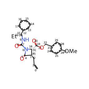 C=CC[C@H]1C(=O)N(C(=O)N[C@H](CC)c2ccccc2)[C@@H]1C(=O)OCc1ccc(OC)cc1